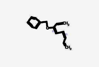 C=C/C=C\C=C(/C=C)OCc1ccccc1